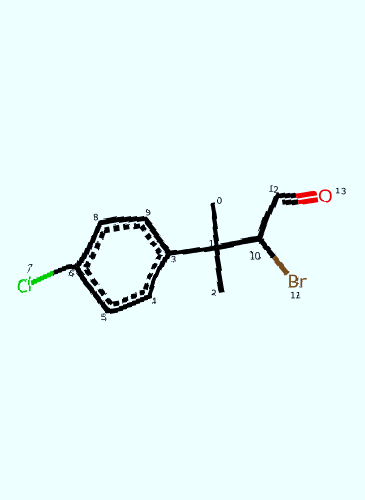 CC(C)(c1ccc(Cl)cc1)C(Br)C=O